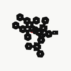 N#Cc1ccc(-n2c3ccc(-c4cc5c6c(c4)N(c4ccccc4)c4ccc(-c7ccccc7)cc4B6c4cc(-c6ccccc6)ccc4N5c4ccccc4)cc3c3cc(-c4nc(-c5ccccc5)nc(-c5ccccc5)n4)ccc32)c(-c2nc(-c3ccccc3)nc(-c3ccccc3)n2)c1